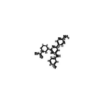 CCC(=O)N1CCCC(c2nc(Nc3cccc(F)c3)cc(-c3cnc(N)nc3)n2)C1